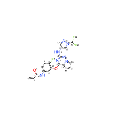 C=CC(=O)Nc1ccc(F)c(Oc2nc(Nc3cnn(C(F)F)c3)nn3cccc23)c1